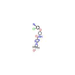 N#Cc1ccc(OC2CCC(NC(=O)c3cnc(N4C[C@@H]5[C@H](C=O)[C@@H]5C4)cn3)CC2)cc1Cl